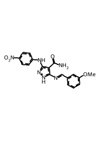 COc1cccc(/C=N/c2[nH]nc(Nc3ccc([N+](=O)[O-])cc3)c2C(N)=O)c1